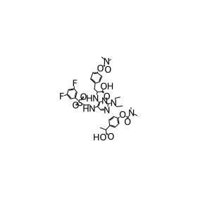 CC(C(=O)O)c1ccc(OC(=O)N(C)C)cc1.CCN(CC)c1ncc(NCCS(=O)(=O)c2cc(F)cc(F)c2)c(NC(Cc2ccc(OC(=O)N(C)C)cc2)C(=O)O)n1